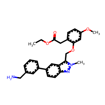 CCOC(=O)Cc1ccc(OC)cc1OCc1c2cc(-c3cccc(CN)c3)ccc2nn1C